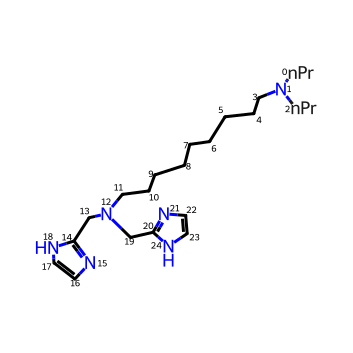 CCCN(CCC)CCCCCCCCCN(Cc1ncc[nH]1)Cc1ncc[nH]1